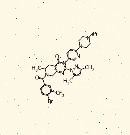 Cc1cc(C)n(-c2nc3c(c(=O)n2-c2ccc(N4CCN(C(C)C)CC4)nc2)CC(C)N(C(=O)c2ccc(Br)c(C(F)(F)F)c2)C3)n1